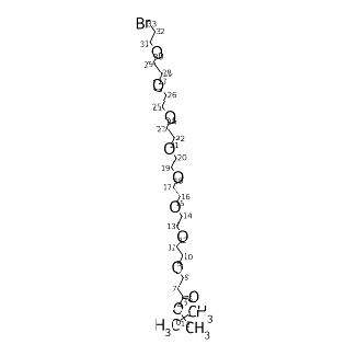 CC(C)(C)OC(=O)CCOCCOCCOCCOCCOCCOCCOCCOCCBr